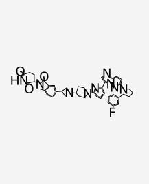 O=C1CCC(N2Cc3ccc(C4CN(C5CCN(c6cccc(-c7cnc8ccc(N9CCCC9c9cccc(F)c9)nn78)n6)CC5)C4)cc3C2=O)C(=O)N1